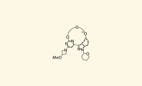 COC1CN(c2cc3nc(n2)OCCCOC[C@H](C)Oc2ccc4c(c2)c-3nn4C2CCCCO2)C1